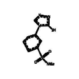 CNS(=O)(=O)c1cccc(-n2cnnc2S)c1